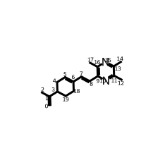 C=C(C)C1CC=C(C=Cc2nc(C)c(C)nc2C)CC1